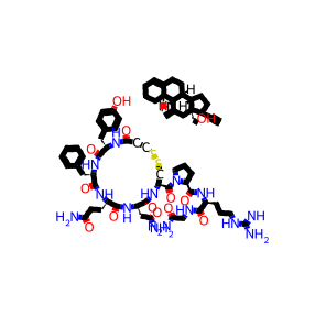 C#C[C@]1(O)CC[C@H]2[C@@H]3CCC4=CCCC[C@@H]4[C@H]3C(=C)C[C@@]21CC.N=C(N)NCCC[C@H](NC(=O)[C@@H]1CCCN1C(=O)[C@@H]1CSSCCC(=O)N[C@@H](Cc2ccc(O)cc2)C(=O)N[C@@H](Cc2ccccc2)C(=O)N[C@@H](CCC(N)=O)C(=O)N[C@@H](CC(N)=O)C(=O)N1)C(=O)NCC(N)=O